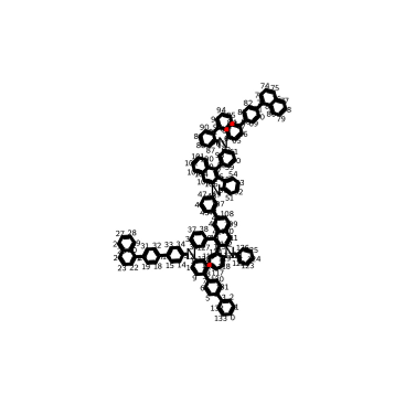 c1ccc(-c2ccc(-c3ccc(N(c4ccc(-c5ccc(-c6cccc7ccccc67)cc5)cc4)c4cccc(-c5c6cc(-c7cccc(-n8c9ccccc9c9c(-c%10cccc(N(c%11ccc(-c%12ccc(-c%13cccc%14ccccc%13%14)cc%12)cc%11)c%11ccccc%11-c%11ccccc%11)c%10)c%10ccccc%10cc98)c7)ccc6cc6c5c5ccccc5n6-c5ccccc5)c4)cc3)cc2)cc1